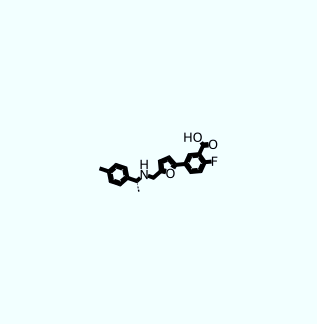 Cc1ccc([C@@H](C)NCc2ccc(-c3ccc(F)c(C(=O)O)c3)o2)cc1